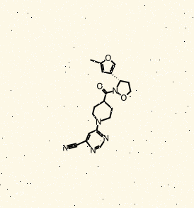 Cc1cc([C@@H]2CCON2C(=O)C2CCN(c3cc(C#N)ncn3)CC2)co1